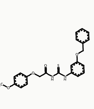 O=C(COc1ccc(OC(F)(F)F)cc1)NC(=S)Nc1cccc(OCc2ccccc2)c1